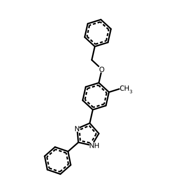 Cc1cc(-c2c[nH]c(-c3ccccc3)n2)ccc1OCc1ccccc1